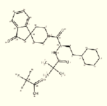 CC(C)(N)C(=O)N[C@H](CCC1CCCCC1)C(=O)N1CCC2(CC1)CC(=O)c1ccccc12.O=C(O)C(F)(F)F